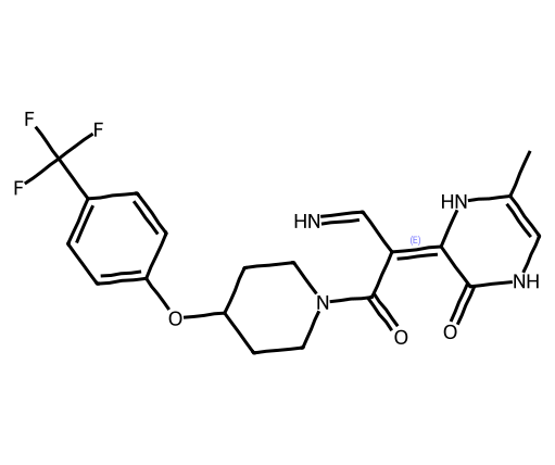 CC1=CNC(=O)/C(=C(/C=N)C(=O)N2CCC(Oc3ccc(C(F)(F)F)cc3)CC2)N1